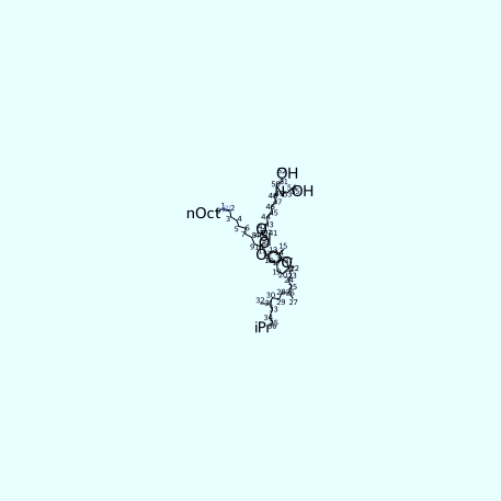 CCCCCCCC/C=C\CCCCCCCC(Oc1cc(C)c2c(c1)CCC(C)(CCCC(C)CCCC(C)CCCC(C)C)O2)O[Si](C)(C)OCCCCCCN(CCO)CCO